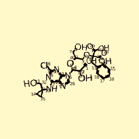 C#C[C@@H](O)[C@@H](O[C@@H](CO)COC(Cc1ccccc1)(C(=O)O)C(=O)O)n1cnc2c(NC3(CO)CC3)nc(Cl)nc21